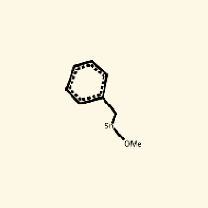 C[O][Sn][CH2]c1ccccc1